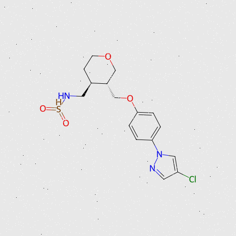 O=[SH](=O)NC[C@H]1CCOC[C@@H]1COc1ccc(-n2cc(Cl)cn2)cc1